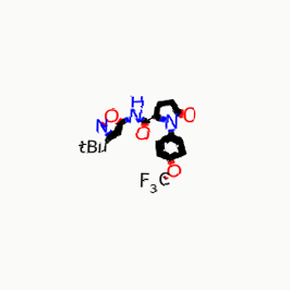 CC(C)(C)c1cc(NC(=O)[C@@H]2CCC(=O)N2c2ccc(OC(F)(F)F)cc2)on1